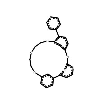 c1cc2cc(c1)-c1ccnc(n1)Nc1ccc(-c3ccncc3)c(c1)OCCOCCO2